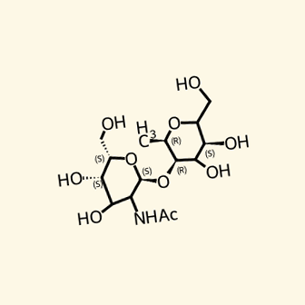 CC(=O)NC1C(O)[C@H](O)[C@H](CO)O[C@H]1O[C@@H]1C(O)[C@H](O)C(CO)O[C@@H]1C